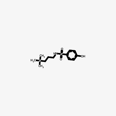 C[Si](C)(C)CCCNS(=O)(=O)c1ccc(O)cc1